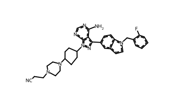 N#CCCN1CCN(C2CCC(n3nc(-c4ccc5c(ccn5Cc5ccccc5F)c4)c4c(N)ncnc43)CC2)CC1